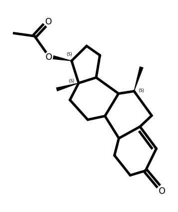 CC(=O)O[C@H]1CCC2C3C(CC[C@@]21C)C1CCC(=O)C=C1C[C@@H]3C